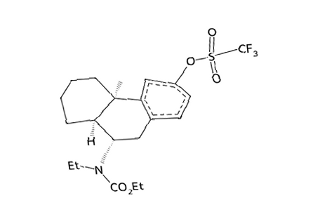 CCOC(=O)N(CC)[C@H]1Cc2ccc(OS(=O)(=O)C(F)(F)F)cc2[C@]2(C)CCCC[C@H]12